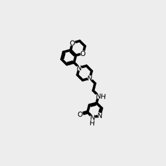 O=c1cc(NCCN2CCN(c3cccc4c3OCCO4)CC2)cn[nH]1